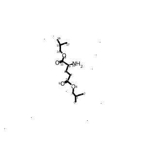 CC(C)COC(=O)CC[C@H](N)C(=O)OCC(C)C